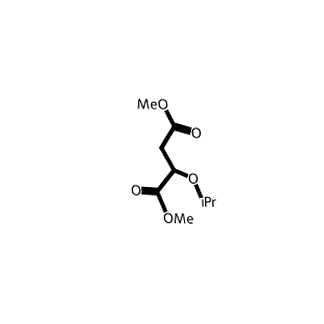 COC(=O)CC(OC(C)C)C(=O)OC